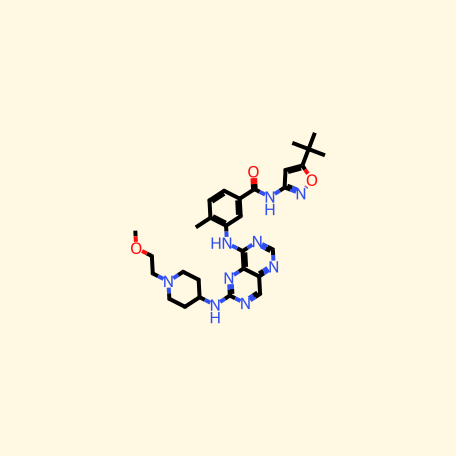 COCCN1CCC(Nc2ncc3ncnc(Nc4cc(C(=O)Nc5cc(C(C)(C)C)on5)ccc4C)c3n2)CC1